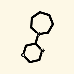 C1CCCN(C2COCC[N]2)CC1